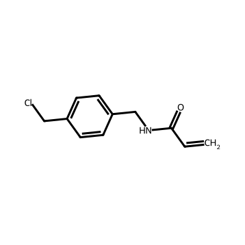 C=CC(=O)NCc1ccc(CCl)cc1